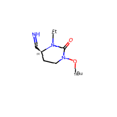 CCCCON1CC[C@@H](C=N)N(CC)C1=O